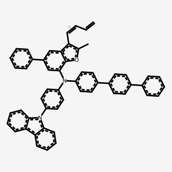 C=C/C=C\c1c(C)oc2c(N(c3ccc(-c4ccc(-c5ccccc5)cc4)cc3)c3ccc(-n4c5ccccc5c5ccccc54)cc3)cc(-c3ccccc3)cc12